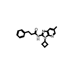 Cc1cnc2c(c1)nc(NC(=O)CCc1ccccc1)n2C1CCC1